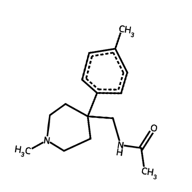 CC(=O)NCC1(c2ccc(C)cc2)CCN(C)CC1